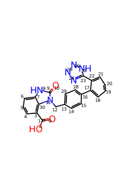 O=C(O)c1cccc2[nH]c(=O)n(Cc3ccc(-c4ccccc4-c4nnn[nH]4)cc3)c12